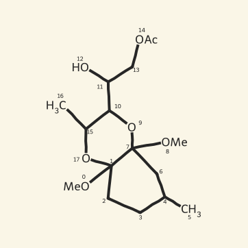 COC12CCC(C)CC1(OC)OC(C(O)COC(C)=O)C(C)O2